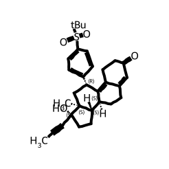 CC#C[C@]1(O)CC[C@H]2[C@@H]3CCC4=CC(=O)CCC4=C3[C@@H](c3ccc(S(=O)(=O)C(C)(C)C)cc3)C[C@@]21C